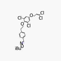 CCC(C)O/N=C/c1ccc(CCOc2c(Cl)cc(OCC=C(Cl)Cl)cc2Cl)cc1